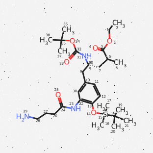 CCOC(=O)C(C)C[C@H](Cc1ccc(O[Si](C)(C)C(C)(C)C)c(NC(=O)CCCN)c1)NC(=O)OC(C)(C)C